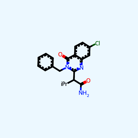 CC(C)C(C(N)=O)c1nc2cc(Cl)ccc2c(=O)n1Cc1ccccc1